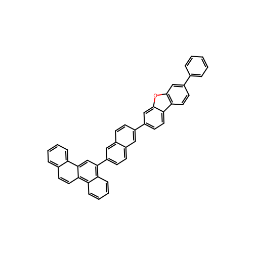 c1ccc(-c2ccc3c(c2)oc2cc(-c4ccc5cc(-c6cc7c8ccccc8ccc7c7ccccc67)ccc5c4)ccc23)cc1